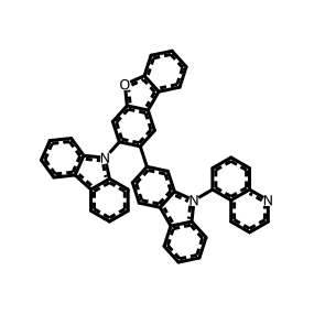 c1cc(-n2c3ccccc3c3ccc(-c4cc5c(cc4-n4c6ccccc6c6ccccc64)oc4ccccc45)cc32)c2cccnc2c1